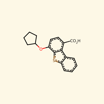 O=C(O)c1ccc(OC2CCCC2)c2sc3ccccc3c12